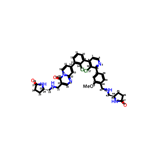 COc1cc(-c2nccc(-c3cccc(-c4ccn5c(=O)c(CNC[C@@H]6CCC(=O)N6)cnc5c4)c3Cl)c2Cl)ccc1CNC[C@H]1CCC(=O)N1